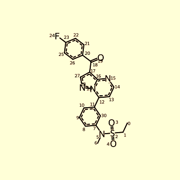 CCS(=O)(=O)N(C)c1cccc(-c2ccnc3c(C(=O)c4ccc(F)cc4)cnn23)c1